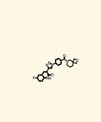 O=C(c1ccc(-n2cc(-c3cc4cc(F)ccc4[nH]c3=O)nn2)cc1)N1CCCC2(COC2)C1